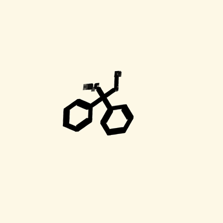 CCSC(C(=O)O)(c1ccccc1)c1ccccc1